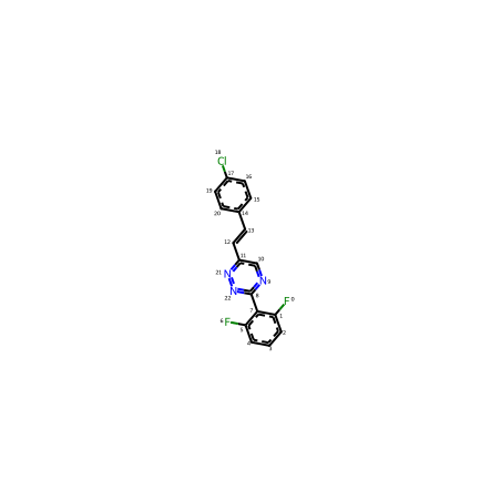 Fc1cccc(F)c1-c1ncc(/C=C/c2ccc(Cl)cc2)nn1